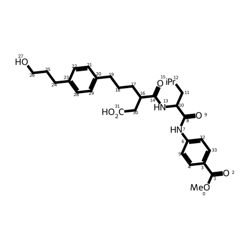 COC(=O)c1ccc(NC(=O)C(CC(C)C)NC(=O)C(CCCc2ccc(CCCO)cc2)CC(=O)O)cc1